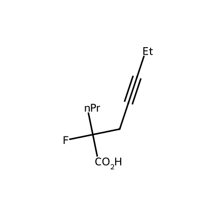 CCC#CCC(F)(CCC)C(=O)O